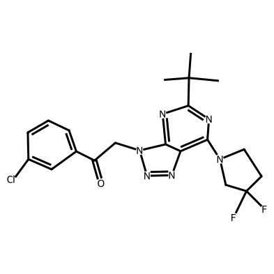 CC(C)(C)c1nc(N2CCC(F)(F)C2)c2nnn(CC(=O)c3cccc(Cl)c3)c2n1